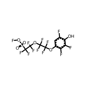 O=S(=O)(OF)C(F)(F)C(F)(F)OC(F)(F)C(F)(F)Oc1cc(F)c(O)c(F)c1F